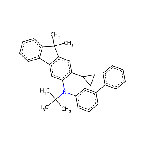 CC1(C)c2ccccc2-c2cc(N(c3cccc(-c4ccccc4)c3)C(C)(C)C)c(C3CC3)cc21